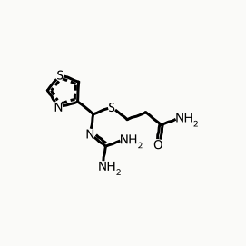 NC(=O)CCSC(N=C(N)N)c1cscn1